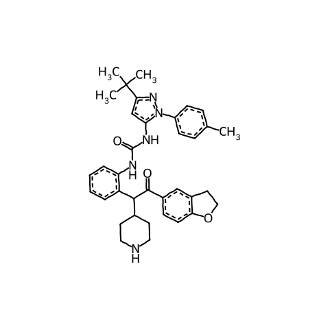 Cc1ccc(-n2nc(C(C)(C)C)cc2NC(=O)Nc2ccccc2C(C(=O)c2ccc3c(c2)CCO3)C2CCNCC2)cc1